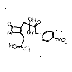 CC(O)CC1NC(=O)C1CC(O)(O)C(=O)Cc1ccc([N+](=O)[O-])cc1